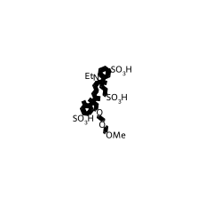 C=C(/C=C/C=C1/N(CC)c2ccc(S(=O)(=O)O)cc2C1(C)CCCS(=O)(=O)O)C(C)(CCOCCOCCOC)c1cc(S(=O)(=O)O)ccc1C